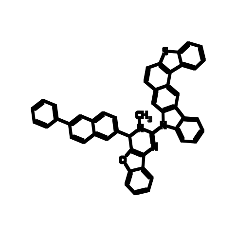 CN1C(n2c3ccccc3c3cc4c(ccc5sc6ccccc6c54)cc32)=Nc2c(oc3ccccc23)C1c1ccc2cc(-c3ccccc3)ccc2c1